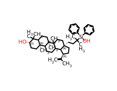 C=C(C)[C@@H]1CC[C@]2(CCC(C)(C)[Si](O)(c3ccccc3)c3ccccc3)CC[C@]3(C)C(CCC4[C@@]5(C)CC[C@H](O)C(C)(C)C5CC[C@]43C)C12